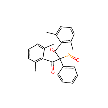 Cc1cccc(C)c1C(=O)C(P=O)(C(=O)c1c(C)cccc1C)c1ccccc1